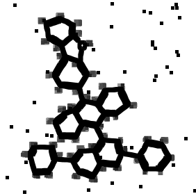 c1ccc(-c2cc(-c3c4ccccc4c(-c4ccc5c(c4)oc4ccccc45)c4ccccc34)c3cc(-c4ccccc4)ccc3c2)cc1